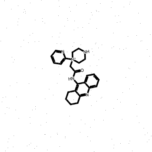 O=C(C[N+]1(c2ccccn2)CCNCC1)Nc1c2c(nc3ccccc13)CCCC2